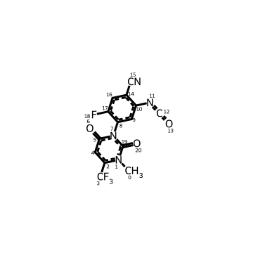 Cn1c(C(F)(F)F)cc(=O)n(-c2cc(N=C=O)c(C#N)cc2F)c1=O